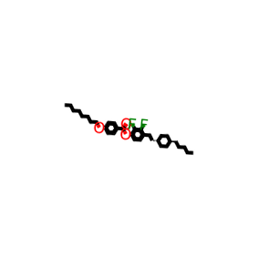 CCCCCCCCOc1ccc(C(=O)Oc2ccc(CC[C@H]3CC[C@H](CCCCC)CC3)c(F)c2F)cc1